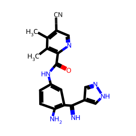 Cc1c(C#N)cnc(C(=O)Nc2ccc(N)c(C(=N)c3cn[nH]c3)c2)c1C